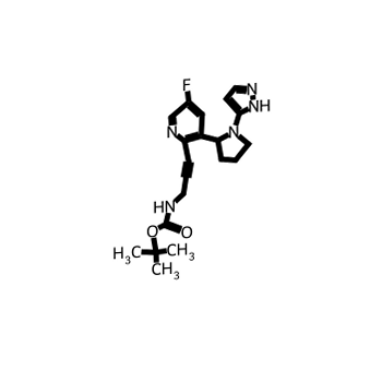 CC(C)(C)OC(=O)NCC#Cc1ncc(F)cc1C1CCCN1c1ccn[nH]1